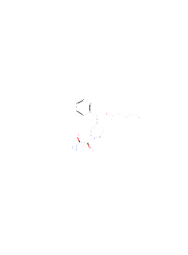 COCCCO[C@@H](c1ccccc1)[C@@H]1CCN(C(=O)C(N)=O)C1